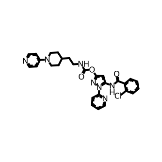 O=C(NCCC1CCN(c2ccncc2)CC1)Oc1cc(NC(=O)c2ccccc2Cl)n(-c2ccccn2)n1